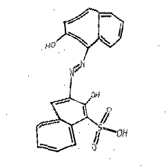 O=S(=O)(O)c1c(O)c(N=Nc2c(O)ccc3ccccc23)cc2ccccc12